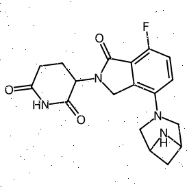 O=C1CCC(N2Cc3c(N4CC5CC(C4)N5)ccc(F)c3C2=O)C(=O)N1